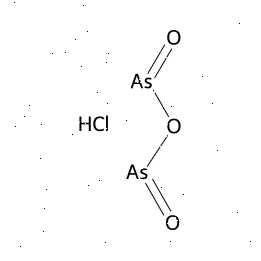 Cl.O=[As]O[As]=O